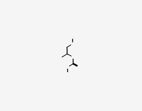 CC(C)OCC(C)OC(=O)OC(C)C